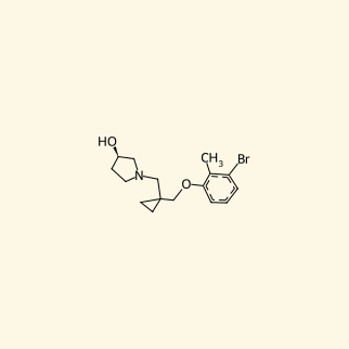 Cc1c(Br)cccc1OCC1(CN2CC[C@@H](O)C2)CC1